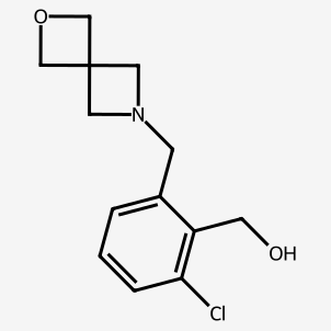 OCc1c(Cl)cccc1CN1CC2(COC2)C1